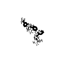 CNc1ncnc(-c2cccnc2Oc2cccc(C(=O)Nc3cc(C(F)(F)F)ccc3Cl)c2C)n1